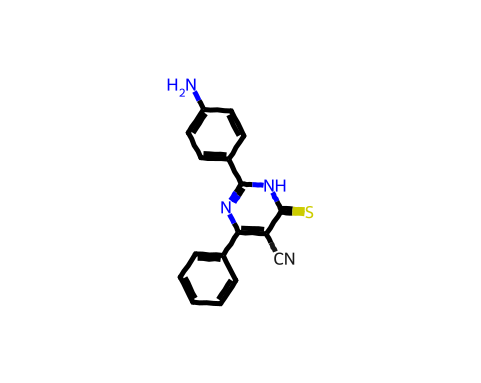 N#Cc1c(-c2ccccc2)nc(-c2ccc(N)cc2)[nH]c1=S